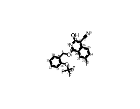 N#Cc1c(O)nc(OCc2ccccc2OC(F)(F)F)c2cc(F)ccc12